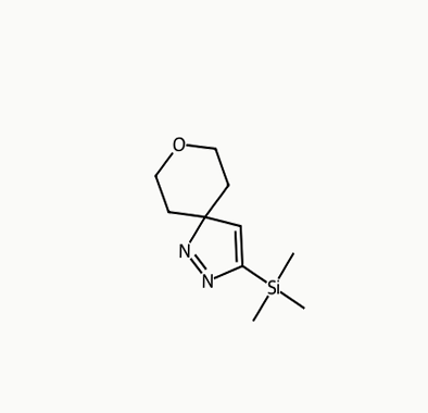 C[Si](C)(C)C1=CC2(CCOCC2)N=N1